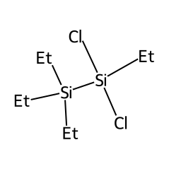 CC[Si](Cl)(Cl)[Si](CC)(CC)CC